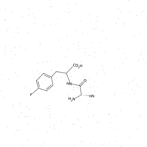 CCC[C@H](N)C(=O)NC(Cc1ccc(F)cc1)C(=O)O